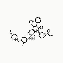 CCC(=O)N1CCC[C@H](n2c(=O)c(-c3ccccc3Cl)c(C)c3cnc(Nc4ccc(CN5CCN(CC)CC5)c(C)c4)nc32)C1